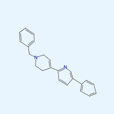 C1=C(c2ccc(-c3ccccc3)cn2)CCN(Cc2ccccc2)C1